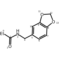 CCC(=O)NCc1ccc2c(c1)OCO2